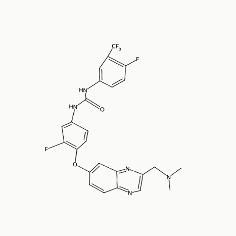 CN(C)Cc1cnc2ccc(Oc3ccc(NC(=O)Nc4ccc(F)c(C(F)(F)F)c4)cc3F)cc2n1